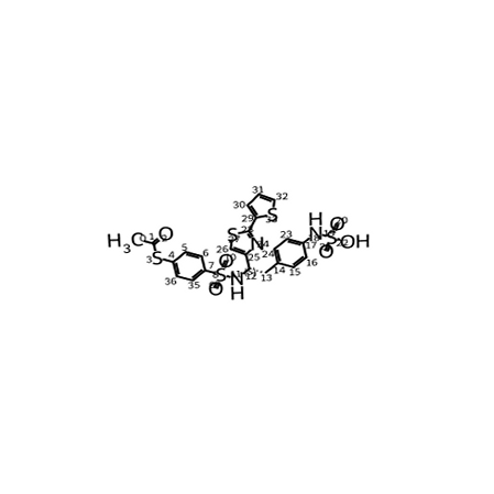 CC(=O)Sc1ccc(S(=O)(=O)N[C@@H](Cc2ccc(NS(=O)(=O)O)cc2)c2csc(-c3cccs3)n2)cc1